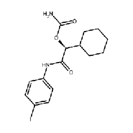 NC(=O)O[C@H](C(=O)Nc1ccc(I)cc1)C1CCCCC1